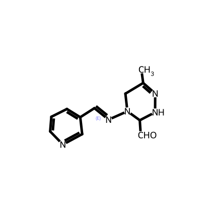 CC1=NNC(C=O)N(/N=C/c2cccnc2)C1